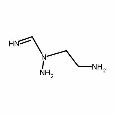 N=CN(N)CCN